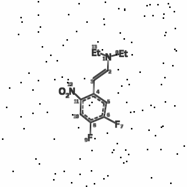 CCN(/C=C/c1cc(F)c(F)cc1[N+](=O)[O-])CC